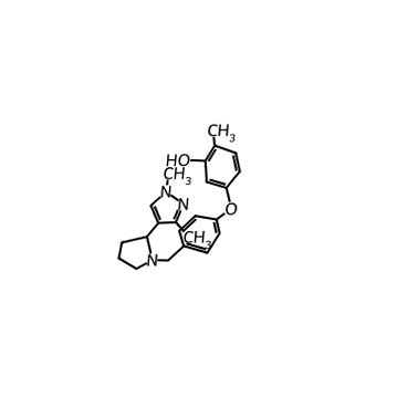 Cc1ccc(Oc2ccc(CN3CCCC3c3cn(C)nc3C)cc2)cc1O